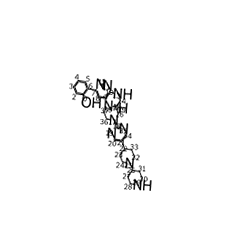 Oc1ccccc1-c1cc2c(nn1)NC[C@H]1CN(c3ncc(C4CCN(C5CCNCC5)CC4)cn3)CCN21